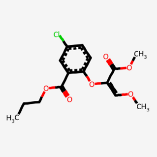 CCCOC(=O)c1cc(Cl)ccc1OC(=COC)C(=O)OC